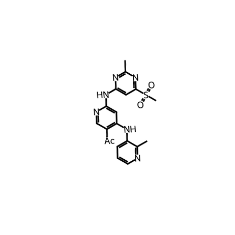 CC(=O)c1cnc(Nc2cc(S(C)(=O)=O)nc(C)n2)cc1Nc1cccnc1C